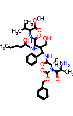 CCCCC(=O)NC(C(=O)NC(C(=O)OC)C(C)C)C(CO)[C@H](NC(=O)[C@H](C)N(C(=O)OCc1ccccc1)C(=O)[C@H](C)N)c1ccccc1